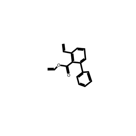 C=COC(=O)c1c(C=C)cccc1-c1ccccc1